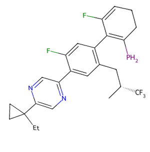 CCC1(c2cnc(-c3cc(C[C@@H](C)C(F)(F)F)c(C4=C(P)CCC=C4F)cc3F)cn2)CC1